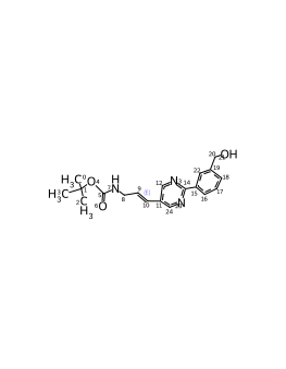 CC(C)(C)OC(=O)NC/C=C/c1cnc(-c2cccc(CO)c2)nc1